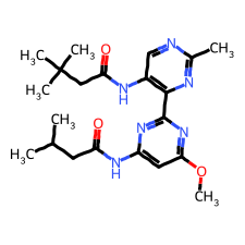 COc1cc(NC(=O)CC(C)C)nc(-c2nc(C)ncc2NC(=O)CC(C)(C)C)n1